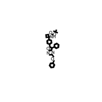 CC(C)(C)OC(=O)NC1(c2ccc(-c3oc4ncc(COCc5ccccc5)nc4c3-c3ccccc3)cc2)CCC1